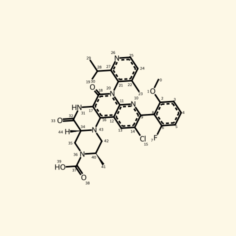 COc1cccc(F)c1-c1nc2c(cc1Cl)c1c(c(=O)n2-c2c(C)ccnc2C(C)C)NC(=O)[C@H]2CN(C(=O)O)[C@H](C)CN12